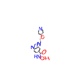 O=C(NO)c1ccc2ncn(CCOc3ccncc3)c2c1